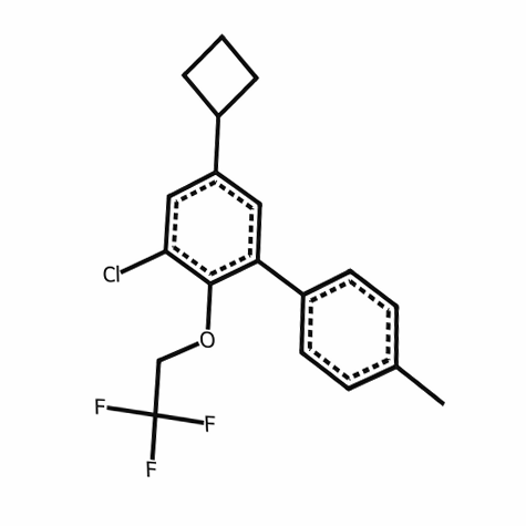 Cc1ccc(-c2cc(C3CCC3)cc(Cl)c2OCC(F)(F)F)cc1